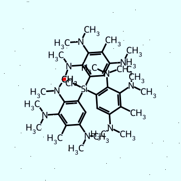 Cc1c(N(C)C)cc([Si](Cl)(c2cc(N(C)C)c(C)c(N(C)C)c2N(C)C)c2cc(N(C)C)c(C)c(N(C)C)c2N(C)C)c(N(C)C)c1N(C)C